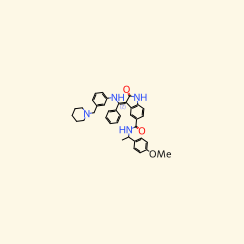 COc1ccc(C(C)NC(=O)c2ccc3c(c2)/C(=C(/Nc2cccc(CN4CCCCC4)c2)c2ccccc2)C(=O)N3)cc1